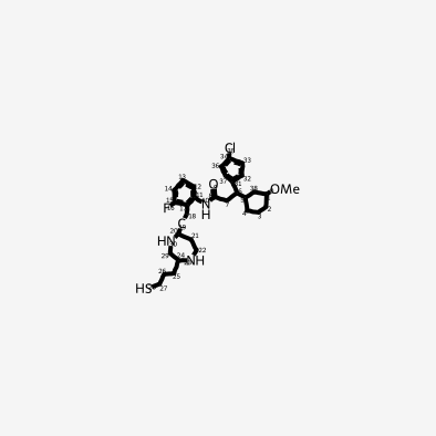 COC1CCCC(C(CC(=O)Nc2cccc(F)c2CCC2CCNC(CCCS)CN2)c2ccc(Cl)cc2)C1